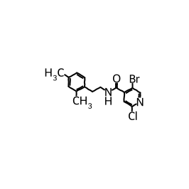 Cc1ccc(CCNC(=O)c2cc(Cl)ncc2Br)c(C)c1